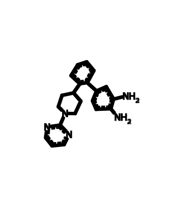 Nc1ccc(-c2ccccc2C2CCN(c3ncccn3)CC2)cc1N